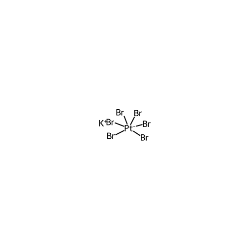 [Br][Pt-]([Br])([Br])([Br])([Br])[Br].[K+]